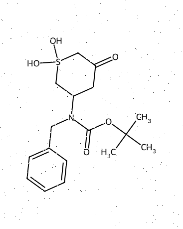 CC(C)(C)OC(=O)N(Cc1ccccc1)C1CC(=O)CS(O)(O)C1